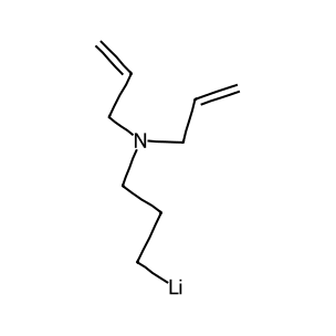 [Li][CH2]CCN(CC=C)CC=C